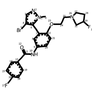 Cn1ncc(Br)c1-c1cc(NC(=O)c2ccc(F)cc2)ccc1OCCN1CCC(F)C1